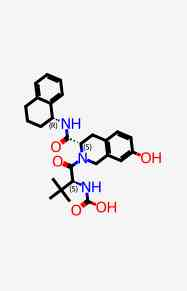 CC(C)(C)[C@H](NC(=O)O)C(=O)N1Cc2cc(O)ccc2C[C@H]1C(=O)N[C@@H]1CCCc2ccccc21